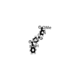 COC(=O)c1cncc(OC(=O)N2CCN(C(=O)c3nc4ccccc4[nH]3)CC2)c1